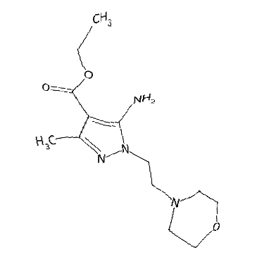 CCOC(=O)c1c(C)nn(CCN2CCOCC2)c1N